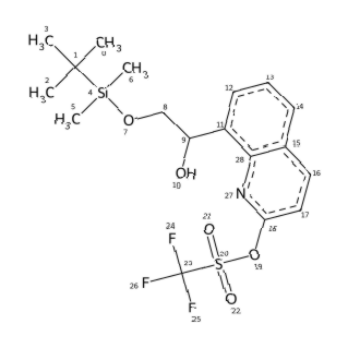 CC(C)(C)[Si](C)(C)OCC(O)c1cccc2ccc(OS(=O)(=O)C(F)(F)F)nc12